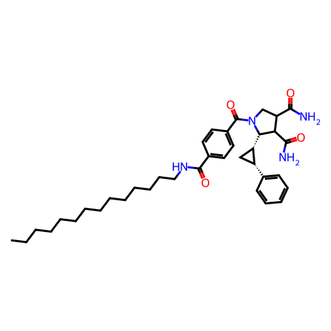 CCCCCCCCCCCCCCNC(=O)c1ccc(C(=O)N2CC(C(N)=O)C(C(N)=O)C2[C@H]2C[C@H]2c2ccccc2)cc1